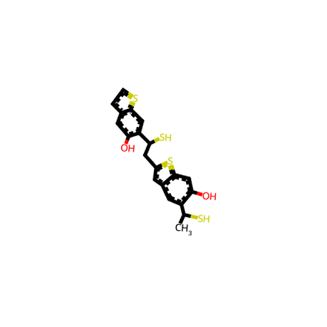 CC(S)c1cc2cc(CC(S)c3cc4sccc4cc3O)sc2cc1O